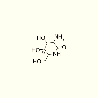 NC1C(=O)NC(CO)[C@@H](O)C1O